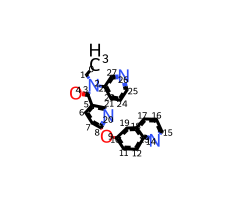 CCN(C(=O)c1ccc(Oc2ccc3ncccc3c2)nc1)c1cccnc1